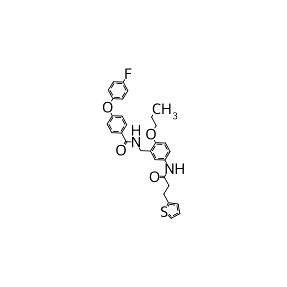 CCCOc1ccc(NC(=O)CCc2cccs2)cc1CNC(=O)c1ccc(Oc2ccc(F)cc2)cc1